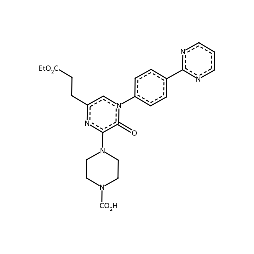 CCOC(=O)CCc1cn(-c2ccc(-c3ncccn3)cc2)c(=O)c(N2CCN(C(=O)O)CC2)n1